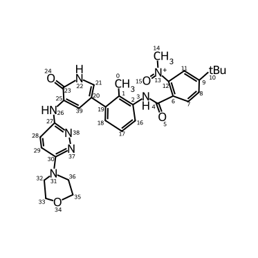 Cc1c(NC(=O)c2ccc(C(C)(C)C)cc2[N+](C)=O)cccc1-c1c[nH]c(=O)c(Nc2ccc(N3CCOCC3)nn2)c1